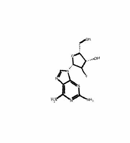 Nc1nc(N)c2ncn([C@@H]3O[C@H](CO)[C@H](O)C3F)c2n1